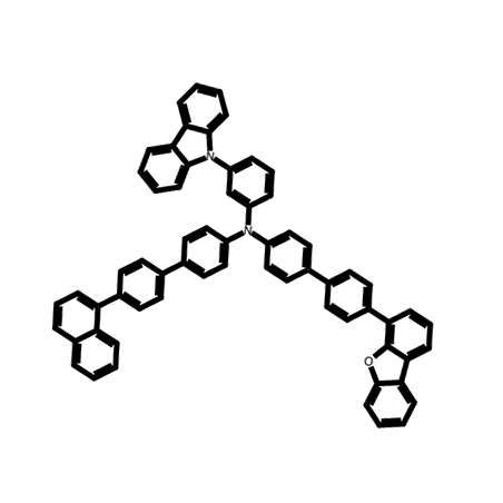 c1cc(N(c2ccc(-c3ccc(-c4cccc5ccccc45)cc3)cc2)c2ccc(-c3ccc(-c4cccc5c4oc4ccccc45)cc3)cc2)cc(-n2c3ccccc3c3ccccc32)c1